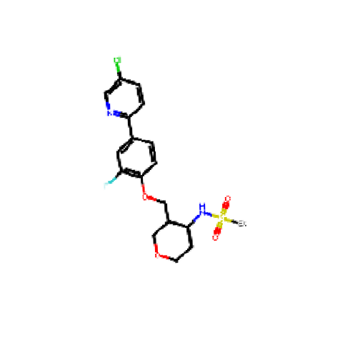 CCS(=O)(=O)NC1CCOCC1COc1ccc(-c2ccc(Cl)cn2)cc1F